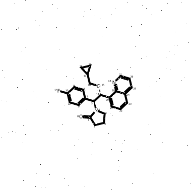 O=C1CCCN1[C@@H](c1ccc(F)cc1)[C@H](OCC1CC1)c1cccc2cccnc12